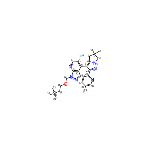 CC1(C)Cc2c(-c3c(F)cnc4c3cnn4COCC[Si](C)(C)C)c(-c3ccc(F)cn3)nn2C1